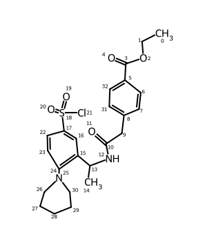 CCOC(=O)c1ccc(CC(=O)NC(C)c2cc(S(=O)(=O)Cl)ccc2N2CCCCC2)cc1